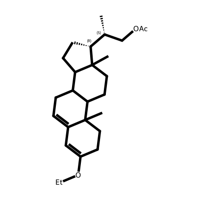 CCOC1=CC2=CCC3C(CCC4(C)C3CC[C@@H]4[C@H](C)COC(C)=O)C2(C)CC1